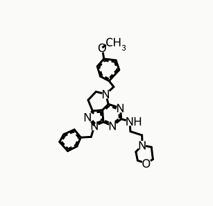 COc1ccc(CN2CCc3nn(Cc4ccccc4)c4nc(NCCN5CCOCC5)nc2c34)cc1